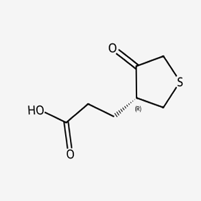 O=C(O)CC[C@H]1CSCC1=O